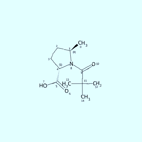 C[C@@H]1CC[C@@H](C(=O)O)N1C(=O)C(C)(C)C